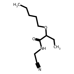 CCCCCOC(CC)C(=O)NCC#N